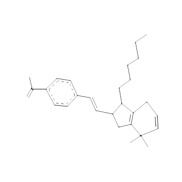 CCCCCCC1C2=C(CC1/C=C/c1ccc(C(=O)O)cc1)C(C)(C)C=CC2